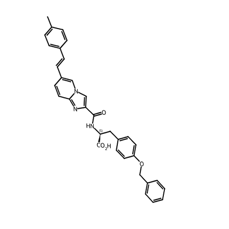 Cc1ccc(C=Cc2ccc3nc(C(=O)N[C@@H](Cc4ccc(OCc5ccccc5)cc4)C(=O)O)cn3c2)cc1